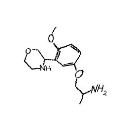 COc1ccc(OCC(C)N)cc1C1COCCN1